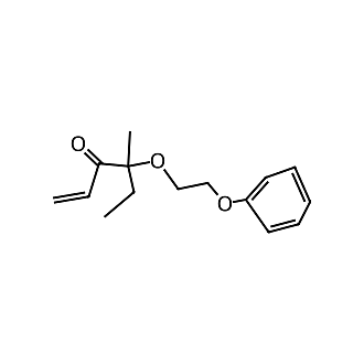 C=CC(=O)C(C)(CC)OCCOc1ccccc1